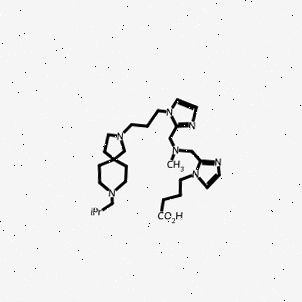 CC(C)CN1CCC2(CC1)CCN(CCCn1ccnc1CN(C)Cc1nccn1CCCC(=O)O)C2